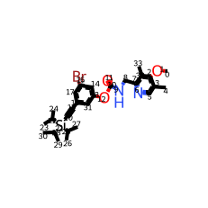 COc1c(C)cnc(CNC(=O)Oc2cc(Br)cc(C#C[Si](C(C)C)(C(C)C)C(C)C)c2)c1C